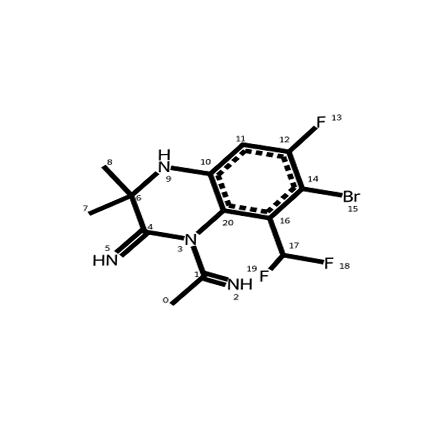 CC(=N)N1C(=N)C(C)(C)Nc2cc(F)c(Br)c(C(F)F)c21